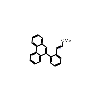 CO/C=C/c1ccccc1-c1cc2ccccc2c2ccccc12